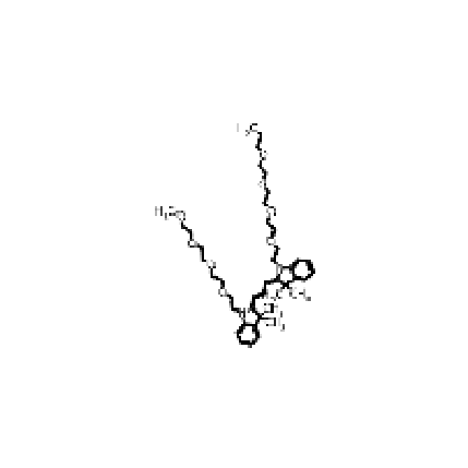 CCCOCCOCCOCCOCCN1/C(=C/C=C/C2=[N+](CCOCCOCCOCCOC)c3ccccc3C2(C)C)C(C)(C)c2ccccc21